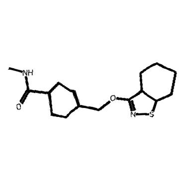 CNC(=O)C1CCC(COC2=NSC3CCCCC23)CC1